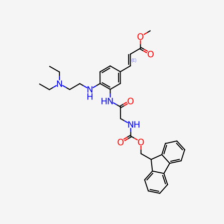 CCN(CC)CCNc1ccc(/C=C/C(=O)OC)cc1NC(=O)CNC(=O)OCC1c2ccccc2-c2ccccc21